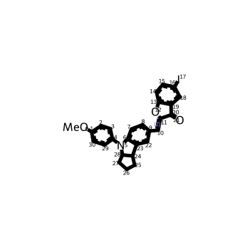 COc1ccc(N2c3ccc(/C=C4\Oc5ccc(I)cc5C4=O)cc3C3CCCC32)cc1